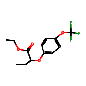 CCOC(=O)C(CC)Oc1ccc(OC(F)(F)F)cc1